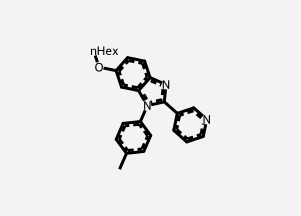 CCCCCCOc1ccc2nc(-c3cccnc3)n(-c3ccc(C)cc3)c2c1